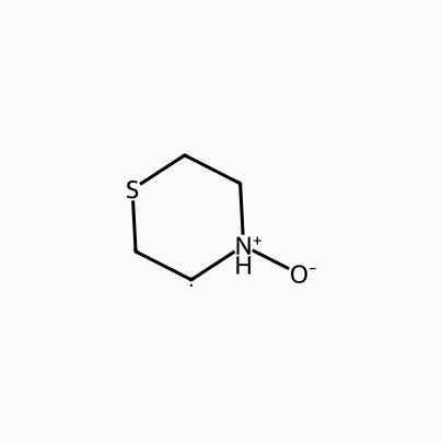 [O-][NH+]1[CH]CSCC1